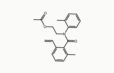 C=Cc1cccc(C)c1C(=O)N(CCOC(C)=O)c1ccccc1C